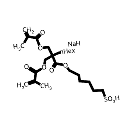 C=C(C)C(=O)OCC(CCCCCC)(COC(=O)C(=C)C)C(=O)OCCCCCCS(=O)(=O)O.[NaH]